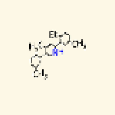 CCc1ccc(C)cc1C1C=C(C)C(c2cccc(C)c2)=CN1